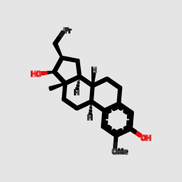 COc1cc2c(cc1O)CC[C@@H]1[C@@H]2CC[C@]2(C)[C@@H](O)[C@@H](CC(C)C)C[C@@H]12